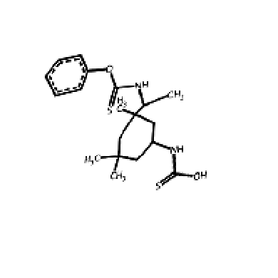 CC(NC(=S)Oc1ccccc1)C1(C)CC(NC(O)=S)CC(C)(C)C1